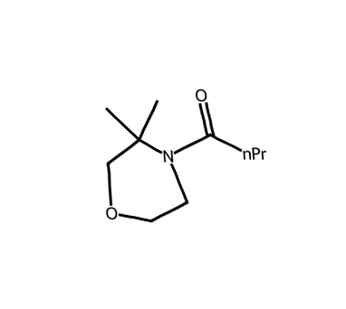 CCCC(=O)N1CCOCC1(C)C